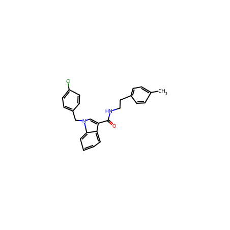 Cc1ccc(CCNC(=O)c2cn(Cc3ccc(Cl)cc3)c3ccccc23)cc1